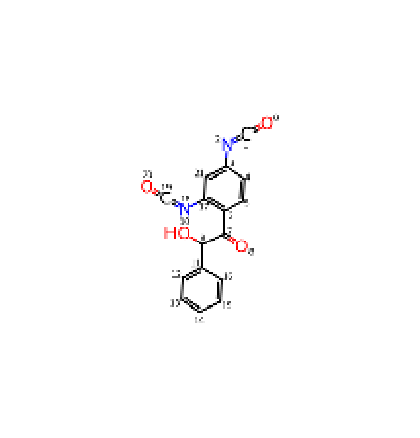 O=C=Nc1ccc(C(=O)C(O)c2ccccc2)c(N=C=O)c1